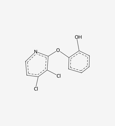 Oc1ccccc1Oc1nccc(Cl)c1Cl